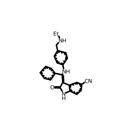 CCNCc1ccc(NC(=C2C(=O)Nc3ccc(C#N)cc32)c2ccccc2)cc1